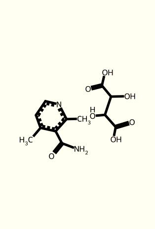 Cc1ccnc(C)c1C(N)=O.O=C(O)C(O)C(O)C(=O)O